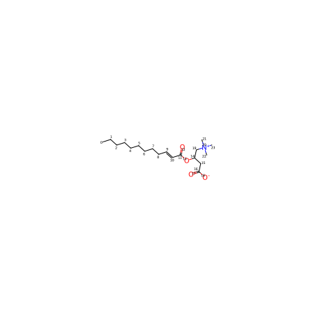 CCCCCCCCCC=CC(=O)OC(CC(=O)[O-])C[N+](C)(C)C